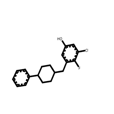 Oc1cc(Cl)c(F)c(CC2CCC(c3ccccc3)CC2)c1